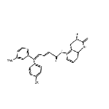 COc1cccc(/C(=C/C=C/C(=O)Nc2cccc3c2CC(O)C(=O)N3)c2ccc(C(F)(F)F)cc2)c1